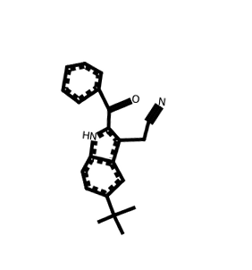 CC(C)(C)c1ccc2[nH]c(C(=O)c3ccccc3)c(CC#N)c2c1